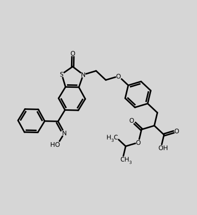 CC(C)OC(=O)C(Cc1ccc(OCCn2c(=O)sc3cc(C(=NO)c4ccccc4)ccc32)cc1)C(=O)O